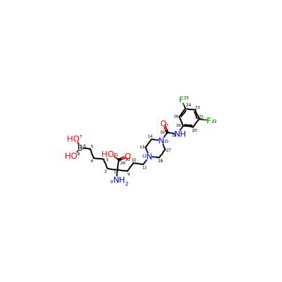 NC(CCCCB(O)O)(CCCN1CCN(C(=O)Nc2cc(F)cc(F)c2)CC1)C(=O)O